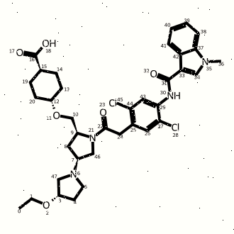 CCO[C@H]1CCN([C@H]2C[C@@H](CO[C@H]3CC[C@H](C(=O)O)CC3)N(C(=O)Cc3cc(Cl)c(NC(=O)c4cn(C)c5ccccc45)cc3Cl)C2)C1